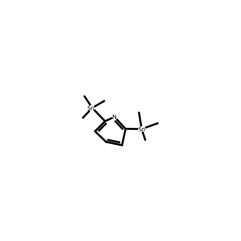 [CH3][Sn]([CH3])([CH3])[c]1ccc[c]([Sn]([CH3])([CH3])[CH3])n1